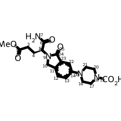 COC(=O)CC[C@@H](C(N)=O)N1Cc2ccc(N3CCN(C(=O)O)CC3)cc2C1=O